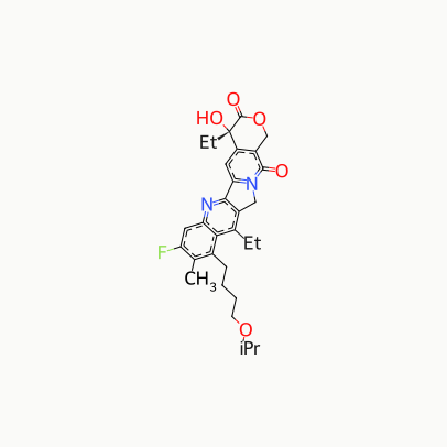 CCc1c2c(nc3cc(F)c(C)c(CCCCOC(C)C)c13)-c1cc3c(c(=O)n1C2)COC(=O)[C@]3(O)CC